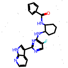 O=C(NC1CCCCC1Nc1nc(-c2c[nH]c3ncccc23)ncc1F)c1ccccc1